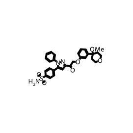 COC1(c2cccc(OCC(=O)c3cc(-c4ccc(S(N)(=O)=O)cc4)n(-c4ccccc4)n3)c2)CCOCC1